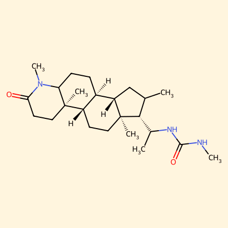 CNC(=O)NC(C)[C@H]1C(C)C[C@H]2[C@@H]3CCC4N(C)C(=O)CC[C@]4(C)[C@H]3CC[C@]12C